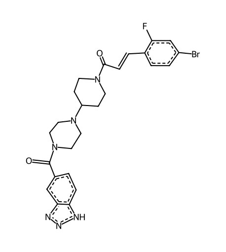 O=C(C=Cc1ccc(Br)cc1F)N1CCC(N2CCN(C(=O)c3ccc4[nH]nnc4c3)CC2)CC1